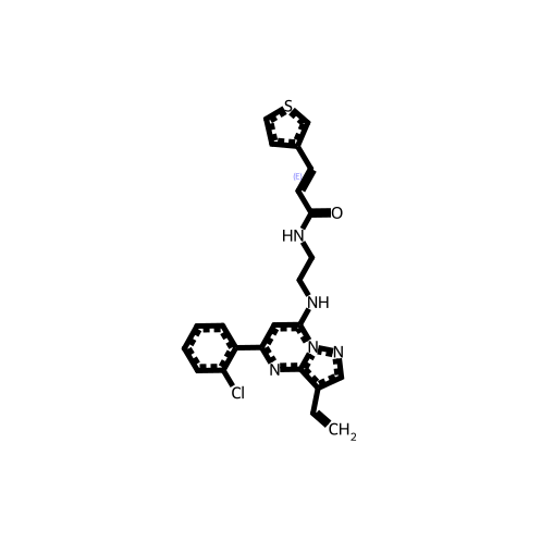 C=Cc1cnn2c(NCCNC(=O)/C=C/c3ccsc3)cc(-c3ccccc3Cl)nc12